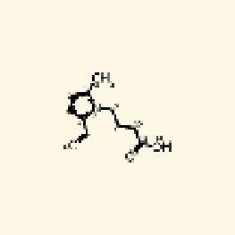 Cc1ccc(C=O)n1CCCC(=O)O